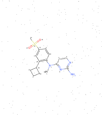 CCCN(c1ccnc(N)n1)c1ccc(S(C)(=O)=O)cc1C1CCC1